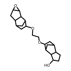 OC1CCC2C3CC(OCCOC4CC5CC4C4C5CC5OC54)C(C3)C12